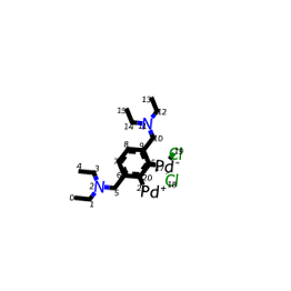 CCN(CC)Cc1ccc(CN(CC)CC)[c]([Pd-]([Cl])[Cl])[c]1[Pd+]